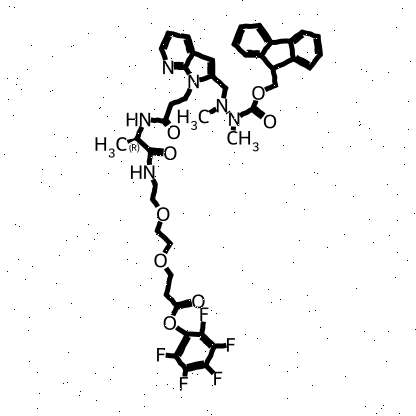 C[C@@H](NC(=O)CCn1c(CN(C)N(C)C(=O)OCC2c3ccccc3-c3ccccc32)cc2cccnc21)C(=O)NCCOCCOCCC(=O)Oc1c(F)c(F)c(F)c(F)c1F